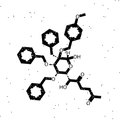 [2H][C@@]1(O)O[C@H](C(O)C(=O)CCC(C)=O)[C@H](OCc2ccccc2)[C@H](OCc2ccccc2)[C@@]1(Cc1ccccc1)OCc1ccc(OC)cc1